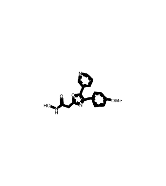 COc1ccc(-c2nc(CC(=O)NO)oc2-c2cccnc2)cc1